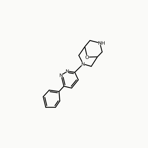 c1ccc(-c2ccc(N3CC4CNCC(C3)O4)nn2)cc1